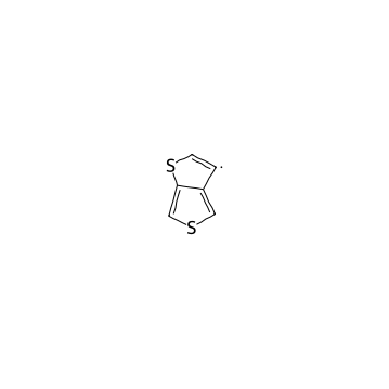 [c]1csc2cscc12